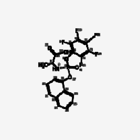 C[C@H](N[P@@](=O)(Oc1c(F)c(F)c(F)c(F)c1F)Oc1cccc2ccccc12)C(=O)O